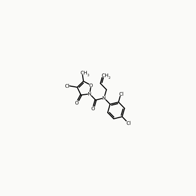 C=CCN(C(=O)n1oc(C)c(Cl)c1=O)c1ccc(Cl)cc1Cl